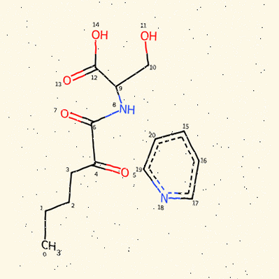 CCCCC(=O)C(=O)NC(CO)C(=O)O.c1ccncc1